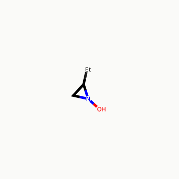 CCC1CN1O